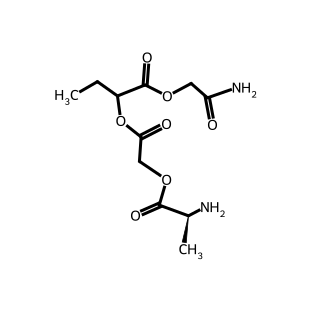 CCC(OC(=O)COC(=O)[C@H](C)N)C(=O)OCC(N)=O